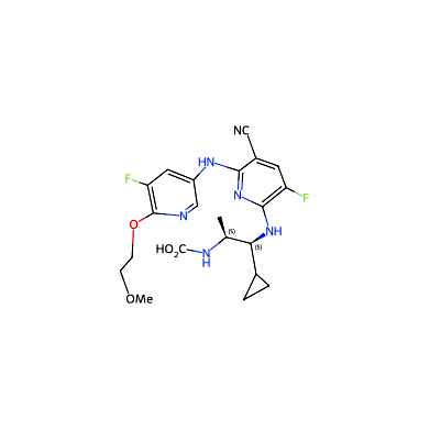 COCCOc1ncc(Nc2nc(N[C@@H](C3CC3)[C@H](C)NC(=O)O)c(F)cc2C#N)cc1F